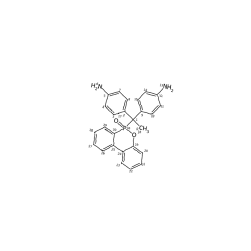 CC(c1ccc(N)cc1)(c1ccc(N)cc1)P1(=O)Oc2ccccc2-c2ccccc21